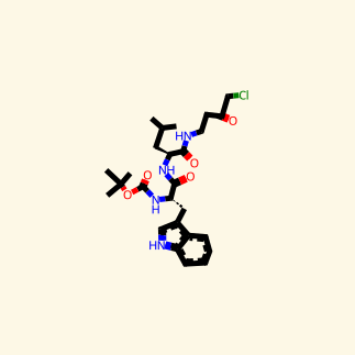 CC(C)C[C@H](NC(=O)[C@H](Cc1c[nH]c2ccccc12)NC(=O)OC(C)(C)C)C(=O)NCCC(=O)CCl